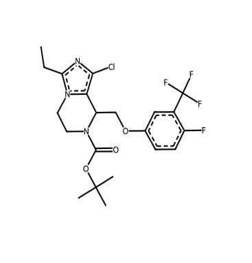 CCc1nc(Cl)c2n1CCN(C(=O)OC(C)(C)C)C2COc1ccc(F)c(C(F)(F)F)c1